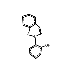 Oc1ccccc1N1N=Cc2ccccc2S1